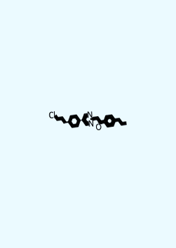 CCCc1ccc(C(=O)Cc2ncc([C@H]3CC[C@H](CCCCl)CC3)cn2)cc1